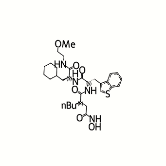 CCCC[C@H](CC(=O)NO)C(=O)N[C@@H](Cc1csc2ccccc12)C(=O)N[C@@H](CC1CCCCC1)C(=O)NCCOC